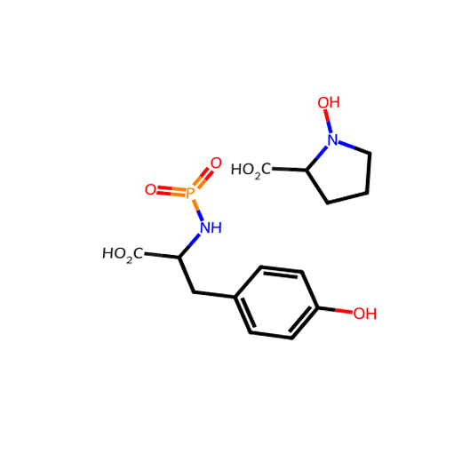 O=C(O)C(Cc1ccc(O)cc1)NP(=O)=O.O=C(O)C1CCCN1O